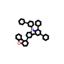 c1ccc(-c2cccc(-n3c4ccc(-c5cccc6oc7ccccc7c56)cc4c4cc(-c5ccccc5)cc(-c5ccccc5)c43)c2)cc1